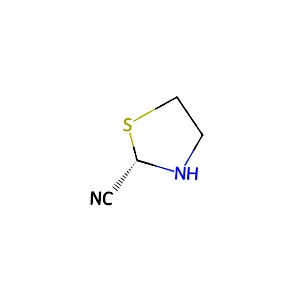 N#C[C@H]1NCCS1